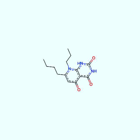 CCCCc1cc(=O)c2c(=O)[nH]c(=O)[nH]c2n1CCC